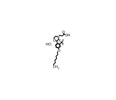 CCCCCCCCOc1ccc(C2CN(CCC(=O)O)CCO2)c(C(F)(F)F)c1.Cl